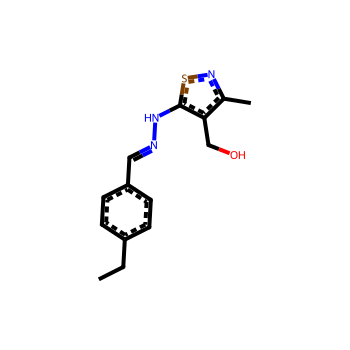 CCc1ccc(/C=N/Nc2snc(C)c2CO)cc1